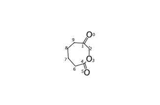 O=C1[CH]OC(=O)CCCC1